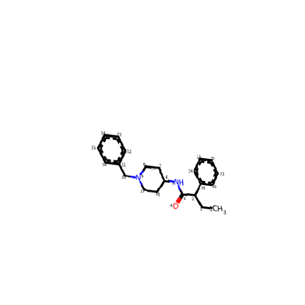 CCC(C(=O)NC1CCN(Cc2ccccc2)CC1)c1ccccc1